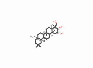 CC1(C)CC[C@]2(C(=O)O)CC[C@]3(C)C(=CC[C@@H]4[C@@]5(C)C[C@@H](O)[C@H](O)[C@@](C)(CO)[C@@H]5CC[C@]43C)[C@H]2C1